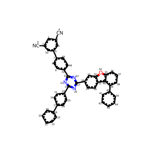 N#Cc1cc(C#N)cc(-c2ccc(-c3nc(-c4ccc(-c5ccccc5)cc4)nc(-c4ccc5c(c4)oc4cccc(-c6ccccc6)c45)n3)cc2)c1